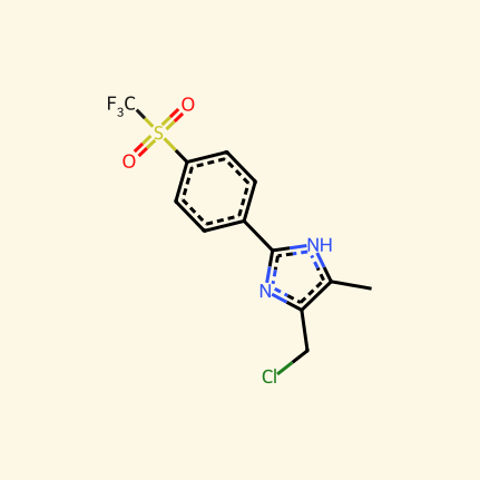 Cc1[nH]c(-c2ccc(S(=O)(=O)C(F)(F)F)cc2)nc1CCl